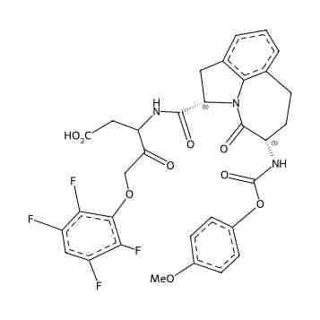 COc1ccc(OC(=O)N[C@H]2CCc3cccc4c3N(C2=O)[C@H](C(=O)NC(CC(=O)O)C(=O)COc2c(F)c(F)cc(F)c2F)C4)cc1